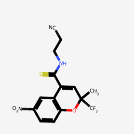 CC1(C(F)(F)F)C=C(C(=S)NCCC#N)c2cc([N+](=O)[O-])ccc2O1